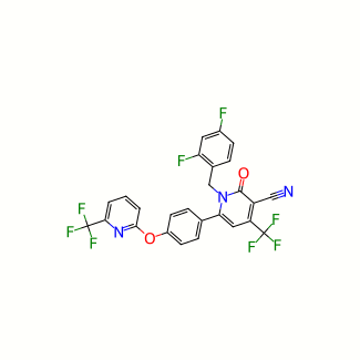 N#Cc1c(C(F)(F)F)cc(-c2ccc(Oc3cccc(C(F)(F)F)n3)cc2)n(Cc2ccc(F)cc2F)c1=O